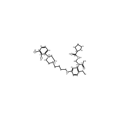 CCc1ccc(OCCCCN2CCN(c3cccc(Cl)c3Cl)CC2)cc1N(COC(=O)C1CCCC1)C(C)=O